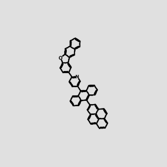 c1ccc2cc3c(cc2c1)oc1ccc(-c2ccc(-c4c5ccccc5c(-c5cc6ccc7cccc8ccc(c5)c6c78)c5ccccc45)cn2)cc13